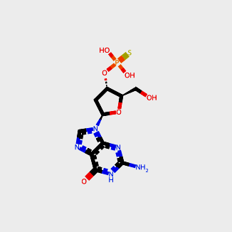 Nc1nc2c(ncn2[C@H]2C[C@H](OP(O)(O)=S)[C@@H](CO)O2)c(=O)[nH]1